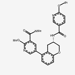 CNC(=O)c1cc(-c2cccc3c2C[C@H](NC(=O)c2ccc(OC(C)C)nc2)CO3)cnc1OC